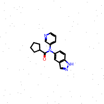 O=C(C1CCCC1)N(c1cccnc1)c1ccc2[nH]ncc2c1